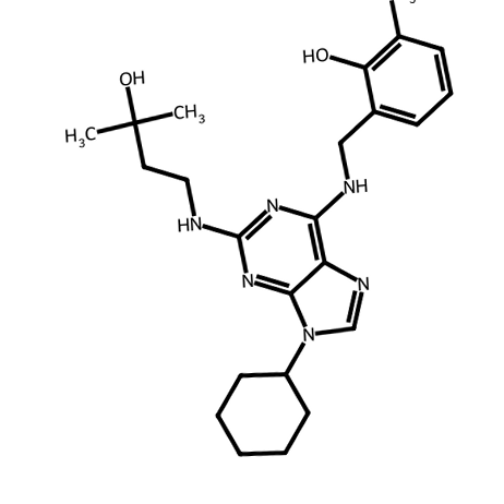 Cc1cccc(CNc2nc(NCCC(C)(C)O)nc3c2ncn3C2CCCCC2)c1O